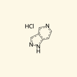 Cl.c1cc2[nH]ncc2cn1